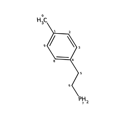 Cc1ccc(CCP)cc1